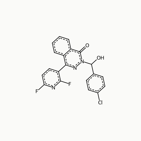 O=c1c2ccccc2c(-c2ccc(F)nc2F)nn1C(O)c1ccc(Cl)cc1